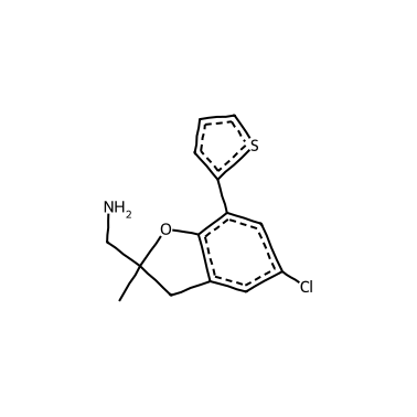 CC1(CN)Cc2cc(Cl)cc(-c3cccs3)c2O1